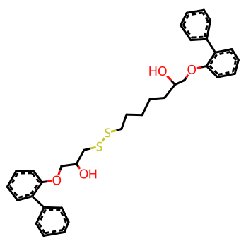 OC(CCCCCSSCC(O)COc1ccccc1-c1ccccc1)COc1ccccc1-c1ccccc1